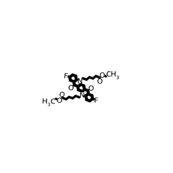 CCOC(=O)CCCCCn1c2ccc(F)cc2c(=O)c2cc3c(cc21)c(=O)c1cc(F)ccc1n3CCCCCC(=O)OCC